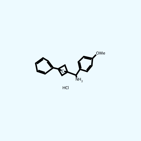 COc1ccc(C(N)C23CC(c4ccccc4)(C2)C3)cc1.Cl